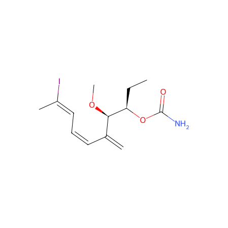 C=C(/C=C\C=C(/C)I)[C@@H](OC)[C@@H](CC)OC(N)=O